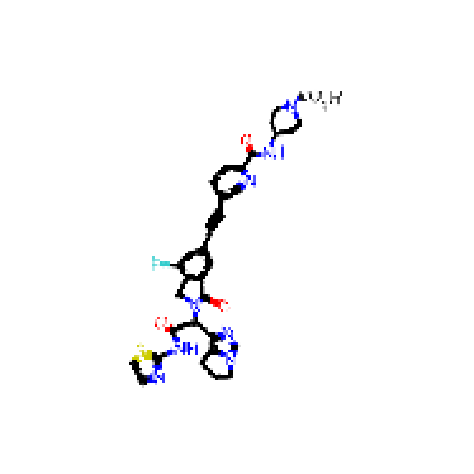 O=C(NC1CCN(C(=O)O)CC1)c1ccc(C#Cc2cc(F)c3c(c2)C(=O)N(C(C(=O)Nc2nccs2)c2ncn4c2CCC4)C3)cn1